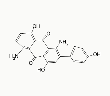 Nc1ccc(O)c2c1C(=O)c1c(O)cc(-c3ccc(O)cc3)c(N)c1C2=O